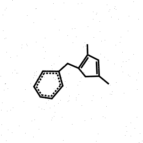 CC1=CC(C)=C(Cc2ccccc2)C1